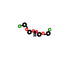 Clc1cccc(COc2cccc(OBOc3cccc(OCc4cccc(Cl)c4)c3)c2)c1